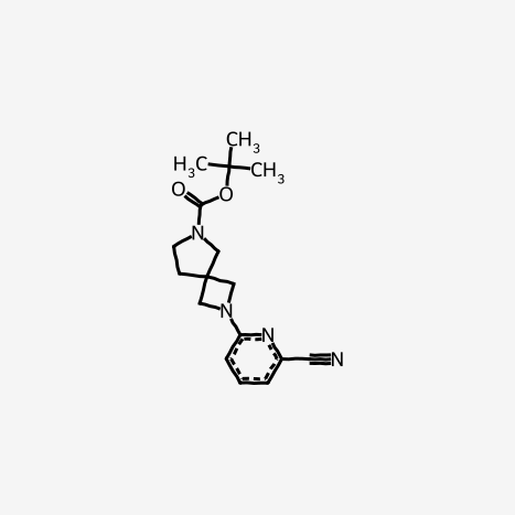 CC(C)(C)OC(=O)N1CCC2(C1)CN(c1cccc(C#N)n1)C2